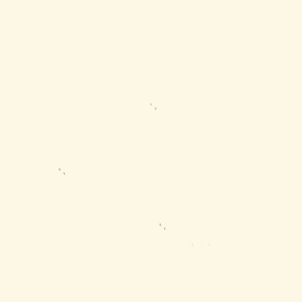 CCOC(=O)N1CCc2nccc(N3CCOCC3)c2C1